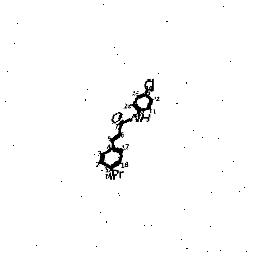 CC(C)c1ccc(C=CC(=O)Nc2ccc(Cl)cc2)cc1